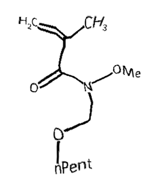 C=C(C)C(=O)N(COCCCCC)OC